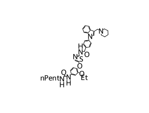 CCCCCNC(=O)Nc1ccc(Oc2cnc(NC(=O)c3ccc(-n4cc(CN5CCCCC5)c5ccccc54)cc3)s2)c(OCC)c1